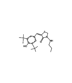 CCCNN1CSC(=Cc2cc(C(C)(C)C)c(O)c(C(C)(C)C)c2)C1=O